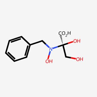 O=C(O)[C@](O)(CO)N(O)Cc1ccccc1